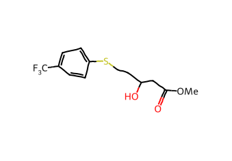 COC(=O)CC(O)CCSc1ccc(C(F)(F)F)cc1